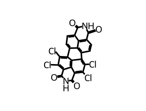 O=C1NC(=O)c2ccc3c4c(Cl)c(Cl)c5c6c(c(Cl)c(Cl)c(c7ccc1c2c73)c64)C(=O)NC5=O